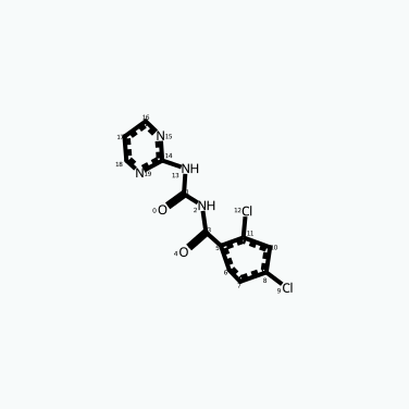 O=C(NC(=O)c1ccc(Cl)cc1Cl)Nc1ncccn1